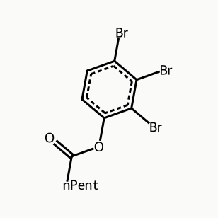 CCCCCC(=O)Oc1ccc(Br)c(Br)c1Br